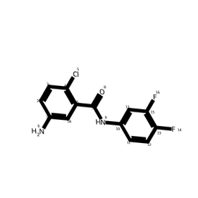 Nc1ccc(Cl)c(C(=O)Nc2ccc(F)c(F)c2)c1